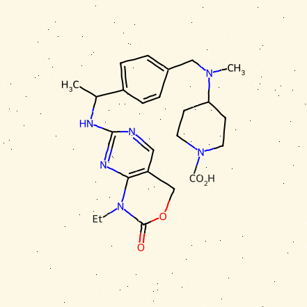 CCN1C(=O)OCc2cnc(NC(C)c3ccc(CN(C)C4CCN(C(=O)O)CC4)cc3)nc21